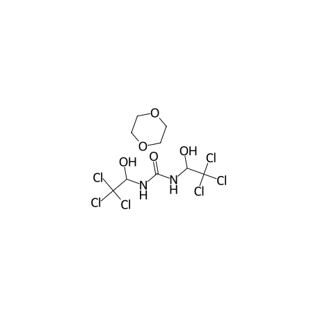 C1COCCO1.O=C(NC(O)C(Cl)(Cl)Cl)NC(O)C(Cl)(Cl)Cl